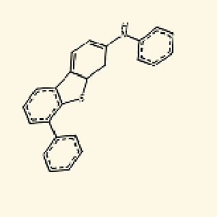 C1=C(Nc2ccccc2)CC2Sc3c(cccc3-c3ccccc3)C2=C1